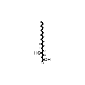 CCCCCCCCCCCCCCC(O)CCC(C)O